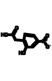 O=C(O)Cc1ccc([N+](=O)[O-])cc1O